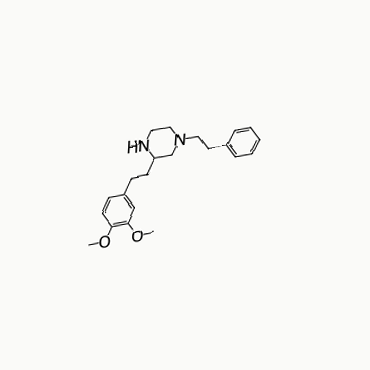 COc1ccc(CCC2CN(CCc3ccccc3)CCN2)cc1OC